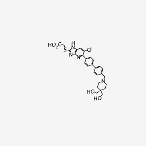 O=C(O)CSc1nc2nc(-c3ccc(-c4ccc(CN5CCC(CO)(CO)CC5)cc4)cc3)c(Cl)cc2[nH]1